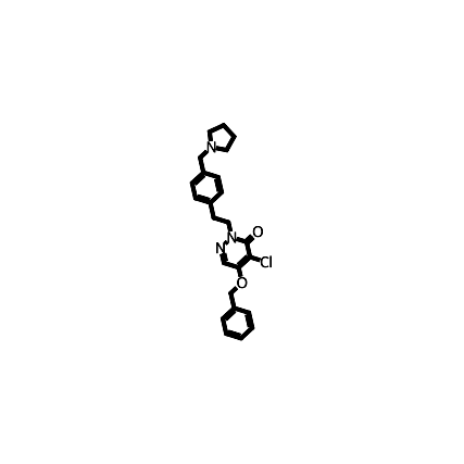 O=c1c(Cl)c(OCc2ccccc2)cnn1CCc1ccc(CN2CCCC2)cc1